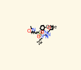 COc1cccc(OC)c1-n1c(-c2ccco2)nnc1N(CC[Si](C)(C)C)S(=O)(=O)CCc1coc(C)n1